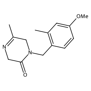 COc1ccc(CN2CC(C)=NCC2=O)c(C)c1